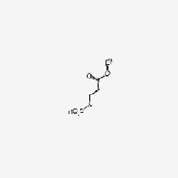 CCOC(=O)CCSS(=O)(=O)O